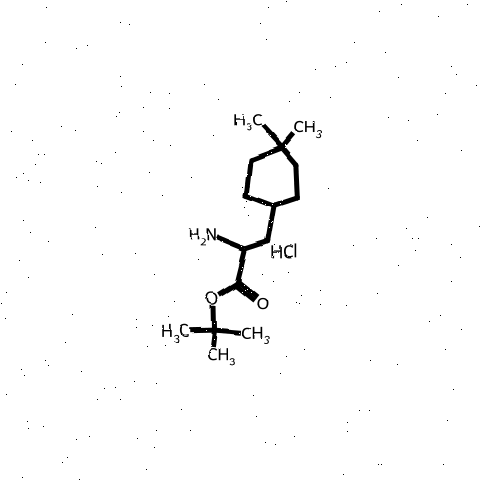 CC1(C)CCC(CC(N)C(=O)OC(C)(C)C)CC1.Cl